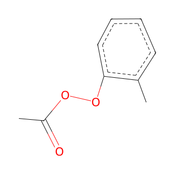 CC(=O)OOc1ccccc1C